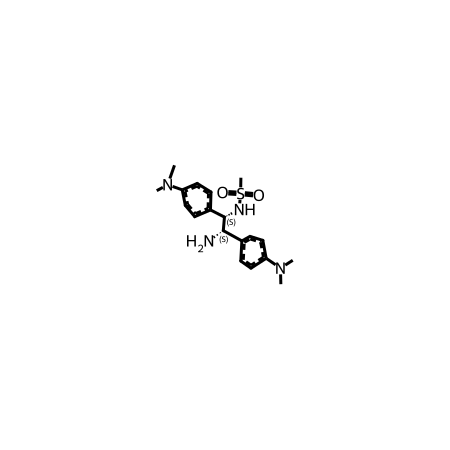 CN(C)c1ccc([C@H](N)[C@@H](NS(C)(=O)=O)c2ccc(N(C)C)cc2)cc1